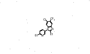 [CH2]Cc1ccc(-n2c(CC)nc3cc(C(F)(F)F)c(Cl)cc32)cn1